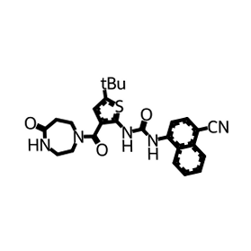 CC(C)(C)c1cc(C(=O)N2CCNC(=O)CC2)c(NC(=O)Nc2ccc(C#N)c3ccccc23)s1